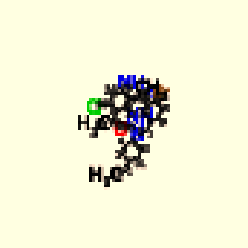 CCc1ccc(N(Cc2ccc(Br)cc2)C(=O)Nc2c(CC)c(N)cc(Cl)c2CC)cc1